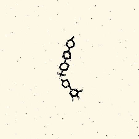 CC1CCC(c2ccc(C3CCC(C(F)(F)OC4CCC(c5cc(F)c(F)c(F)c5)CC4)CC3)cc2)CC1